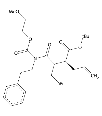 C=CC[C@H](C(=O)OC(C)(C)C)C(CC(C)C)C(=O)N(CCc1ccccc1)C(=O)OCCOC